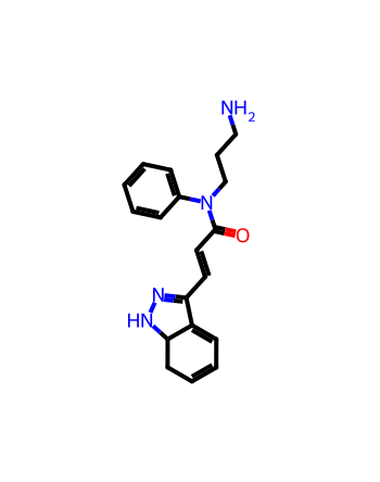 NCCCN(C(=O)/C=C/C1=NNC2CC=CC=C12)c1ccccc1